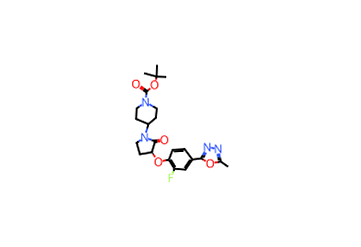 Cc1nnc(-c2ccc(O[C@H]3CCN(C4CCN(C(=O)OC(C)(C)C)CC4)C3=O)c(F)c2)o1